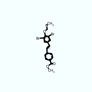 COCOc1c(Br)cc(/C=C/c2ccc(C(=O)OC)cc2)cc1Br